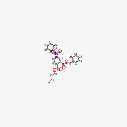 CCCCOC(=O)c1ccc([N+](=O)[O-])cc1C(=O)OCc1ccccc1.c1ccccc1